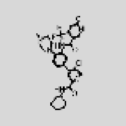 CN1CCN(c2ccc(-c3cc(C(=O)NC4CCCCC4)ccc3Cl)cc2NC(=O)c2c[nH]c(=O)cc2C(F)(F)F)CC1